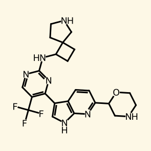 FC(F)(F)c1cnc(NC2CCC23CCNC3)nc1-c1c[nH]c2nc(C3CNCCO3)ccc12